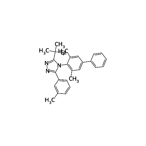 CCC(C)(C)c1nnc(-c2cccc(C)c2)n1-c1c(C)cc(-c2ccccc2)cc1C